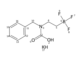 O=C(O)N(CC[B-](F)(F)F)Cc1ccccc1.[KH]